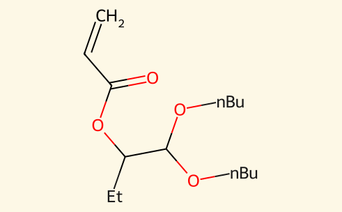 C=CC(=O)OC(CC)C(OCCCC)OCCCC